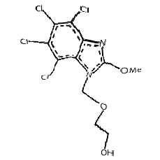 COc1nc2c(Cl)c(Cl)c(Cl)c(Cl)c2n1COCCO